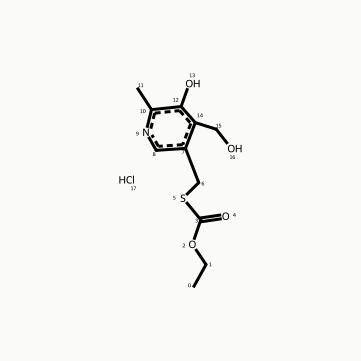 CCOC(=O)SCc1cnc(C)c(O)c1CO.Cl